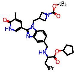 Cc1cc(-c2nc3cc(CNC(CC(C)C)C(=O)OC4CCCC4)ccc3n2CC2CN(C(=O)OC(C)(C)C)C2)c[nH]c1=O